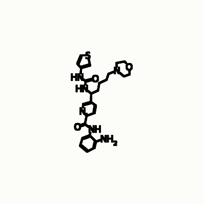 Nc1ccccc1NC(=O)c1ccc(C(CCCCN2CCOCC2)NC(=O)Nc2ccsc2)cn1